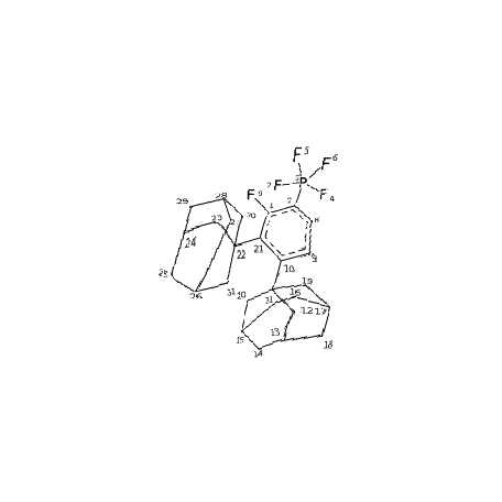 Fc1c(P(F)(F)(F)F)ccc(C23CC4CC(CC(C4)C2)C3)c1C12CC3CC(CC(C3)C1)C2